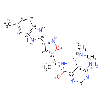 C[C@@H](NC(=O)c1ncnc(N)c1CN(C)C)c1cc(-c2nc3ccc(C(F)(F)F)cc3[nH]2)no1